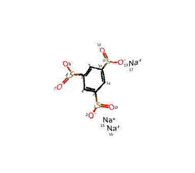 O=S([O-])c1cc(S(=O)[O-])cc(S(=O)[O-])c1.[Na+].[Na+].[Na+]